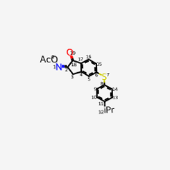 CC(=O)ON=C1Cc2cc(Sc3ccc(C(C)C)cc3)ccc2C1=O